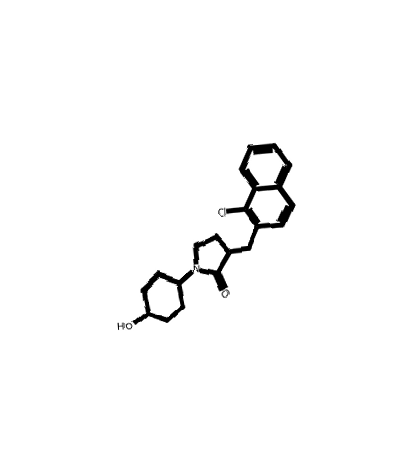 O=C1C(Cc2ccc3ccccc3c2Cl)CCN1C1CCC(O)CC1